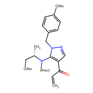 C=CC(=O)c1cnn(Cc2ccc(OC)cc2)c1N(CCCCC)[C@@H](C)COC